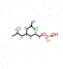 CC(Cl)CC(CCCOPO)CC(C)Cl